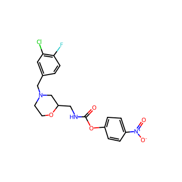 O=C(NCC1CN(Cc2ccc(F)c(Cl)c2)CCO1)Oc1ccc([N+](=O)[O-])cc1